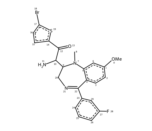 COc1ccc2c(c1)N(C)C(C(N)C(=O)c1ccc(Br)s1)CN=C2c1cccc(F)c1